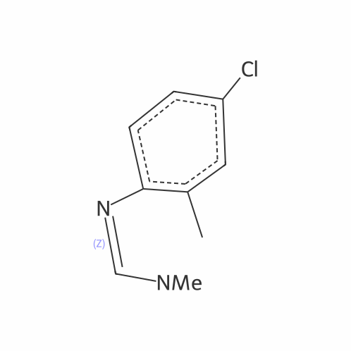 CN/C=N\c1ccc(Cl)cc1C